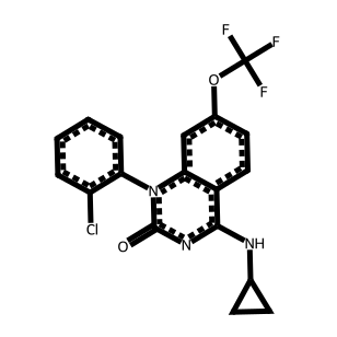 O=c1nc(NC2CC2)c2ccc(OC(F)(F)F)cc2n1-c1ccccc1Cl